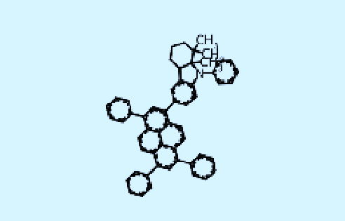 CC1(C)CCCC2c3cc(-c4cc(-c5ccccc5)c5ccc6c(-c7ccccc7)cc(-c7ccccc7)c7ccc4c5c67)ccc3N(c3ccccc3)C21C